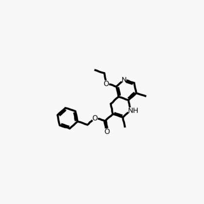 CCOc1ncc(C)c2c1CC(C(=O)OCc1ccccc1)=C(C)N2